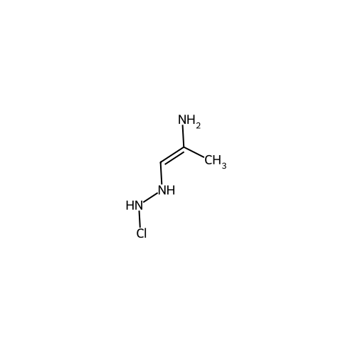 C/C(N)=C\NNCl